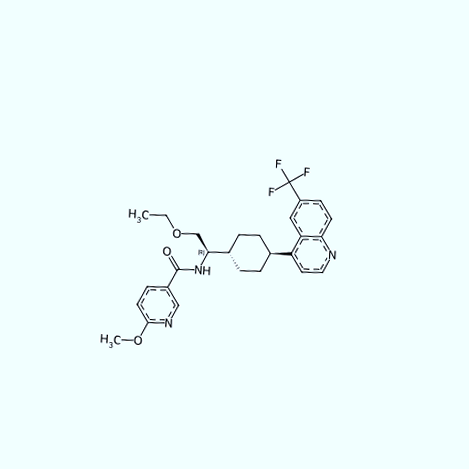 CCOC[C@H](NC(=O)c1ccc(OC)nc1)[C@H]1CC[C@H](c2ccnc3ccc(C(F)(F)F)cc32)CC1